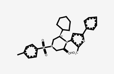 Cc1ccc(S(=O)(=O)N2CC(=O)N(c3cc(-c4ccccc4)sc3C(=O)O)[C@H](C3CCCCC3)C2)cc1